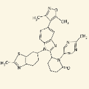 Cc1ncc(N2C(=O)CCCC2c2nc3cc(-c4c(C)noc4C)ccc3n2C2CCc3nc(C)sc3C2)cn1